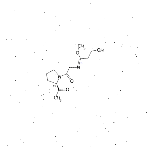 CO/C(CCO)=N\CC(=O)N1CCC[C@@H]1C(C)=O